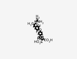 CC(=Cc1cc(F)c(Oc2ccc(S(=O)(=O)NC(CC(=O)O)C(=O)O)cc2)c(F)c1)C(=O)N=C(N)N